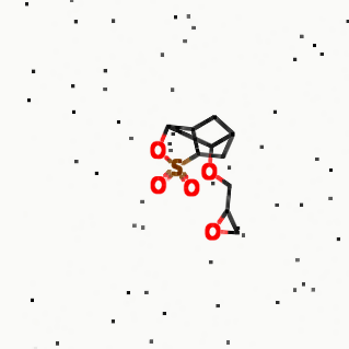 O=S1(=O)OC2C3CC(CC31)C2OCC1CO1